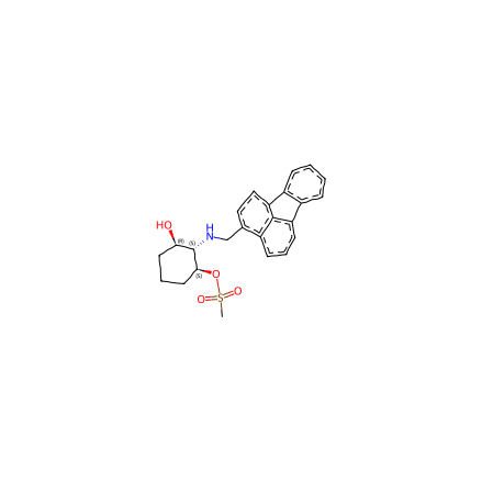 CS(=O)(=O)O[C@H]1CCC[C@@H](O)[C@@H]1NCc1ccc2c3c(cccc13)-c1ccccc1-2